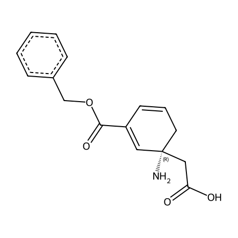 N[C@]1(CC(=O)O)C=C(C(=O)OCc2ccccc2)C=CC1